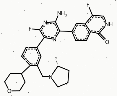 C[C@@H]1CCCN1Cc1cc(-c2nc(-c3ccc4c(=O)[nH]cc(F)c4c3)c(N)nc2F)ccc1C1CCOCC1